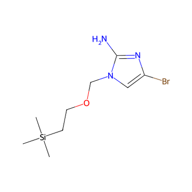 C[Si](C)(C)CCOCn1cc(Br)nc1N